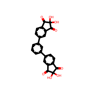 O=C1c2ccc(-c3cccc(-c4ccc5c(c4)C(=O)C(O)(O)C5=O)c3)cc2C(=O)C1(O)O